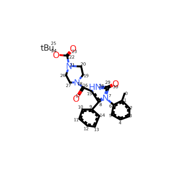 Cc1ccccc1-n1c(-c2ccccc2)c(C(=O)N2CCN(C(=O)OC(C)(C)C)CC2)[nH]c1=O